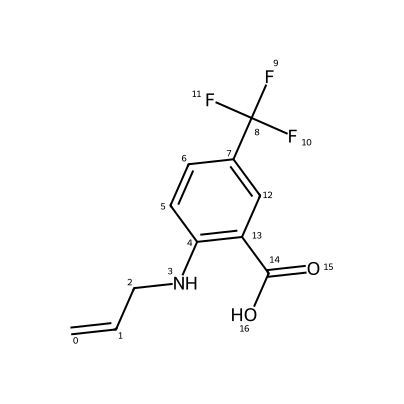 C=CCNc1ccc(C(F)(F)F)cc1C(=O)O